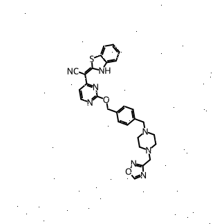 N#CC(=C1Nc2ccccc2S1)c1ccnc(OCc2ccc(CN3CCN(Cc4ncon4)CC3)cc2)n1